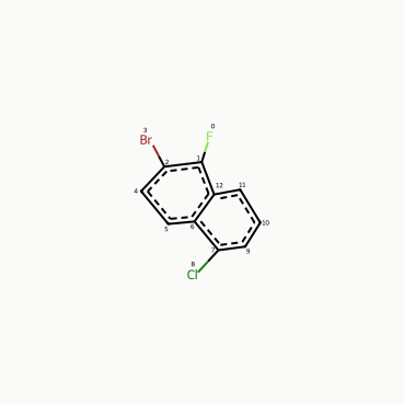 Fc1c(Br)ccc2c(Cl)cccc12